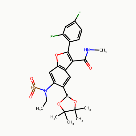 CCN(c1cc2oc(-c3ccc(F)cc3F)c(C(=O)NC)c2cc1B1OC(C)(C)C(C)(C)O1)[SH](=O)=O